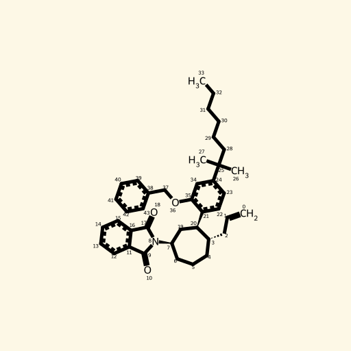 C=CC[C@@H]1CCC[C@@H](N2C(=O)c3ccccc3C2=O)C[C@H]1c1ccc(C(C)(C)CCCCCC)cc1OCc1ccccc1